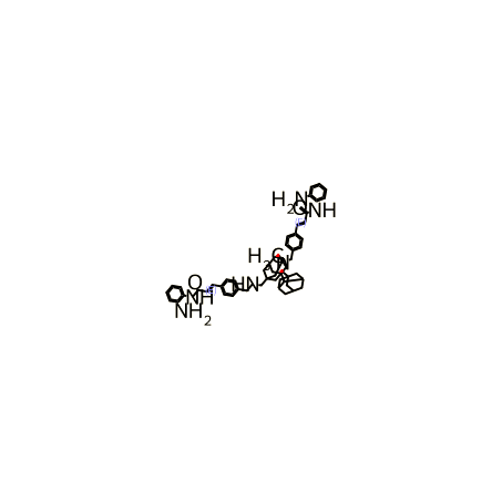 CN(Cc1ccc(/C=C/C(=O)Nc2ccccc2N)cc1)CC12CC3CC(C1)C(C14CC5CC(CC(CNCc6ccc(/C=C/C(=O)Nc7ccccc7N)cc6)(C5)C1)C4)C(C3)C2